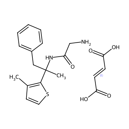 Cc1ccsc1C(C)(Cc1ccccc1)NC(=O)CN.O=C(O)/C=C/C(=O)O